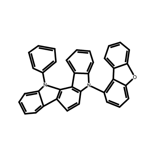 c1ccc(-n2c3ccccc3c3ccc4c(c5ccccc5n4-c4cccc5oc6ccccc6c45)c32)cc1